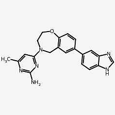 Cc1cc(N2CCOc3ccc(-c4ccc5[nH]cnc5c4)cc3C2)nc(N)n1